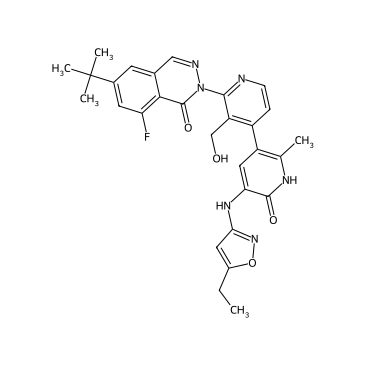 CCc1cc(Nc2cc(-c3ccnc(-n4ncc5cc(C(C)(C)C)cc(F)c5c4=O)c3CO)c(C)[nH]c2=O)no1